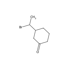 CC(Br)C1CCCC(=O)C1